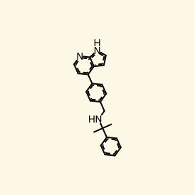 CC(C)(NCc1ccc(-c2ccnc3[nH]ccc23)cc1)c1ccccc1